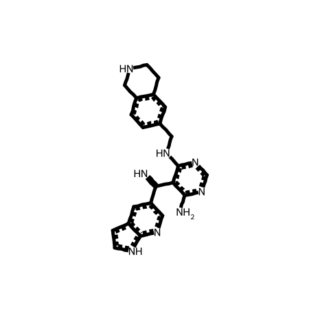 N=C(c1cnc2[nH]ccc2c1)c1c(N)ncnc1NCc1ccc2c(c1)CCNC2